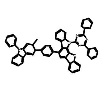 CC1C=c2c(c3ccccc3n2-c2ccccc2)=CC1c1ccc(-c2cc3c4ccccc4oc3c3c2c2ccccc2n3-c2nc(-c3ccccc3)nc(-c3ccccc3)n2)cc1